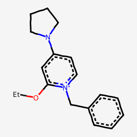 CCOc1cc(N2CCCC2)cc[n+]1Cc1ccccc1